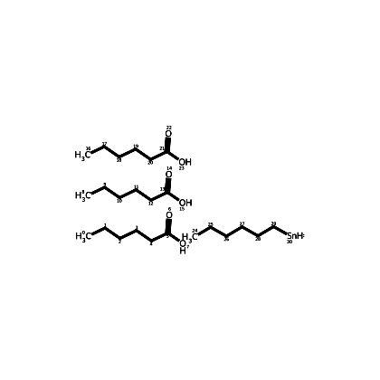 CCCCCC(=O)O.CCCCCC(=O)O.CCCCCC(=O)O.CCCCC[CH2][SnH]